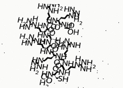 CC(=O)N[C@@H](CS)C(=O)N[C@@H](CCCNC(=N)N)C(=O)N[C@@H](CCCNC(=N)N)C(=O)N[C@@H](CCCNC(=N)N)C(=O)N[C@@H](CCCNC(=N)N)C(=O)N[C@@H](CS)C(=O)N[C@@H](CCCNC(=N)N)C(=O)N[C@@H](CCCNC(=N)N)C(=O)N[C@@H](CCCNC(=N)N)C(=O)NCC(=O)O